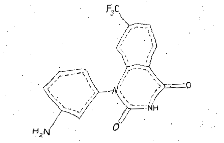 Nc1cccc(-n2c(=O)[nH]c(=O)c3ccc(C(F)(F)F)cc32)c1